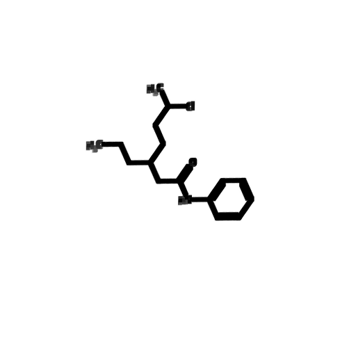 CCCC(CCC(C)Cl)CC(=O)Nc1ccccc1